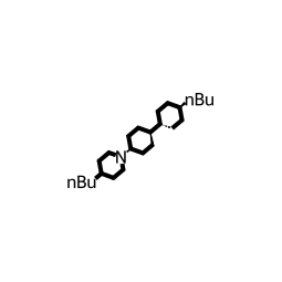 CCCCC1CCN([C@H]2CC[C@H]([C@H]3CC[C@H](CCCC)CC3)CC2)CC1